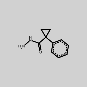 NNC(=O)C1(c2ccccc2)CC1